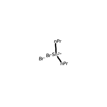 CC[CH2][Sn+2][CH2]CC.[Br-].[Br-]